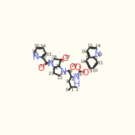 CC(C)CC(NC(=O)Oc1ccc2ncccc2c1)C(=O)N1CCC2C1C(=O)CN2C(=O)c1ccccn1